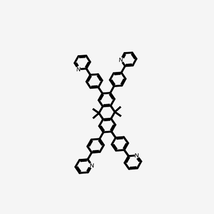 CC1(C)c2cc(-c3ccc(-c4ccccn4)cc3)c(-c3ccc(-c4ccccn4)cc3)cc2C(C)(C)c2cc(-c3ccc(-c4ccccn4)cc3)c(-c3ccc(-c4ccccn4)cc3)cc21